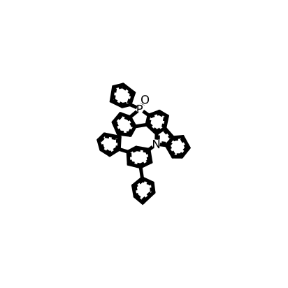 O=P1(c2ccccc2)c2ccccc2-c2c1ccc1c3ccccc3n(-c3cc(-c4ccccc4)cc(-c4ccccc4)c3)c21